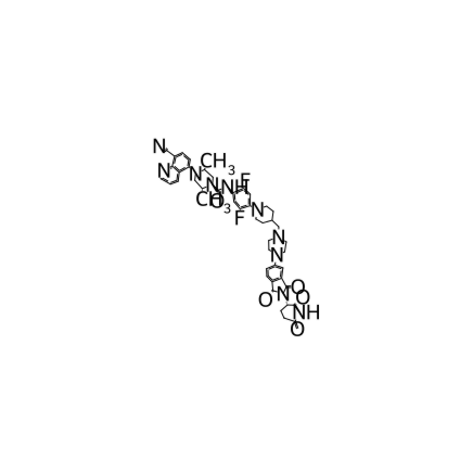 C[C@@H]1CN(c2ccc(C#N)c3ncccc23)[C@@H](C)CN1C(=O)Nc1cc(F)c(N2CCC(CN3CCN(c4ccc5c(c4)C(=O)N([C@H]4CCC(=O)NC4=O)C5=O)CC3)CC2)cc1F